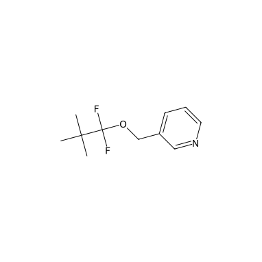 CC(C)(C)C(F)(F)OCc1cccnc1